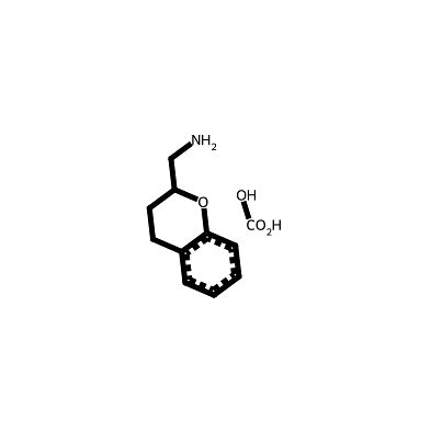 NCC1CCc2ccccc2O1.O=C(O)O